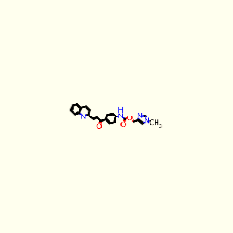 Cn1cnc(COC(=O)Nc2ccc(C(=O)/C=C/c3ccc4ccccc4n3)cc2)c1